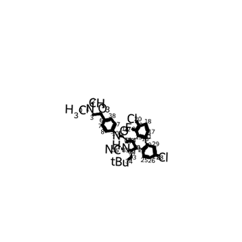 CN(C)CC(=O)c1ccc(NC(=O)[C@H]2[C@H](c3cccc(Cl)c3F)[C@H](c3ccc(Cl)cc3F)[C@@H](CC(C)(C)C)N2C#N)cc1